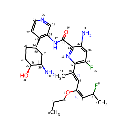 CCCOC(=C/C(C)F)/C=C(\C)c1nc(C(=O)Nc2cnccc2[C@@H]2CC[C@H](O)[C@H](N)C2)c(N)cc1F